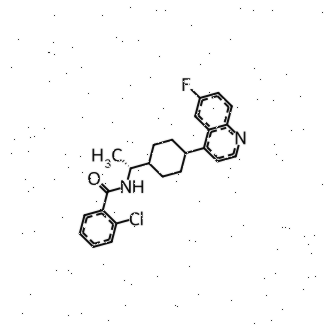 C[C@@H](NC(=O)c1ccccc1Cl)C1CCC(c2ccnc3ccc(F)cc23)CC1